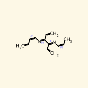 C=C\C=C/N=C(C=C)/C(C=C)=N/C=C\C